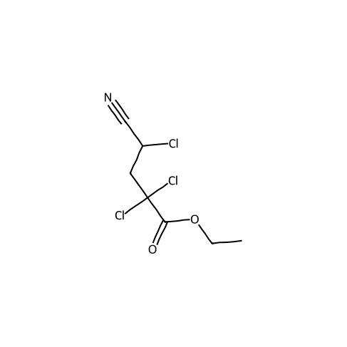 CCOC(=O)C(Cl)(Cl)CC(Cl)C#N